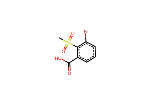 CS(=O)(=O)c1c(Br)cccc1C(=O)O